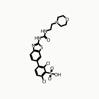 O=C(NCCN1CCOCC1)Nc1nc2ccc(-c3ccc(Cl)c(S(=O)(=O)O)c3Cl)cc2s1